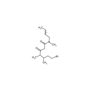 C/C=C/CN(C)C(=O)CC(=O)C(C)C(C)CCC(C)C